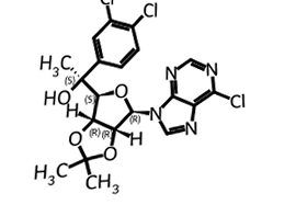 CC1(C)O[C@@H]2[C@H](O1)[C@@H]([C@@](C)(O)c1ccc(Cl)c(Cl)c1)O[C@H]2n1cnc2c(Cl)ncnc21